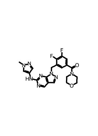 Cn1cc(Nc2ncc3cnn(Cc4cc(C(=O)N5CCOCC5)cc(F)c4F)c3n2)cn1